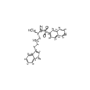 C[C@H](CNCCc1csc2ccccc12)NS(=O)(=O)c1ccc2cnccc2c1.Cl